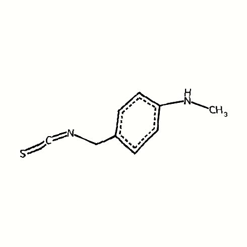 CNc1ccc(CN=C=S)cc1